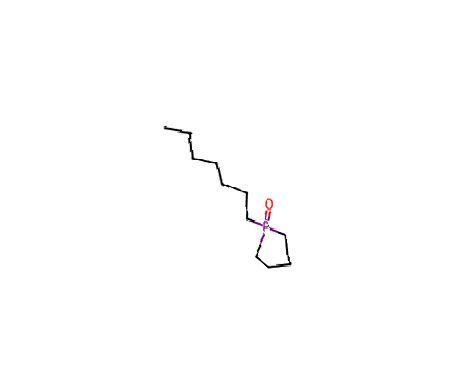 CCCCCCCP1(=O)CCCC1